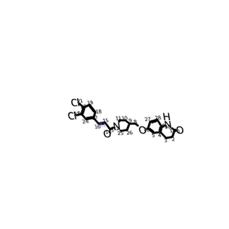 O=C1CCc2cc(OCC3CCN(C(=O)/C=C/c4ccc(Cl)c(Cl)c4)CC3)ccc2N1